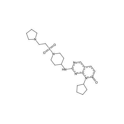 O=c1ccc2cnc(NC3CCN(S(=O)(=O)CCN4CCCC4)CC3)nc2n1C1CCCC1